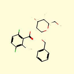 COc1c(Cl)ccc(Cl)c1C(=O)O[C@H]1[C@@H](OCc2ccccc2)O[C@H](CO)[C@@H](O)[C@@H]1O